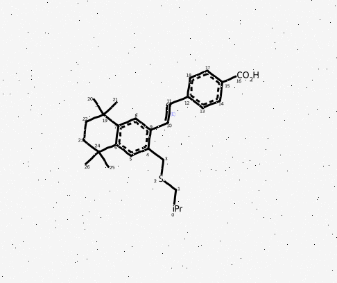 CC(C)CSCc1cc2c(cc1/C=C/c1ccc(C(=O)O)cc1)C(C)(C)CCC2(C)C